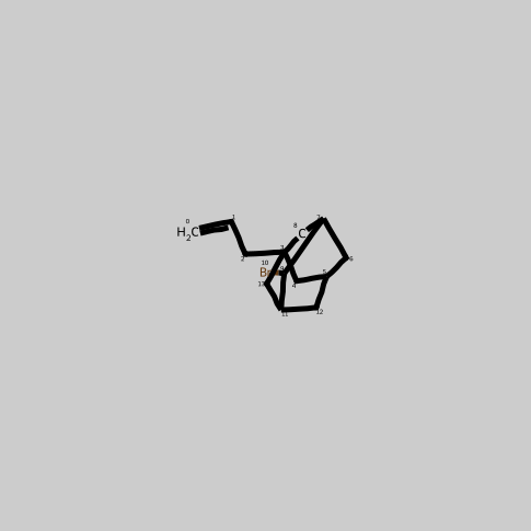 C=CCC12CC3CC(C1)C(Br)C(C3)C2